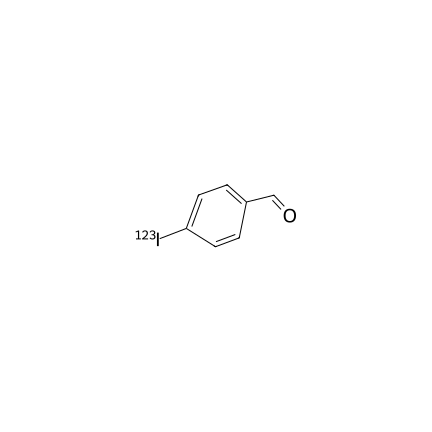 O=Cc1ccc([123I])cc1